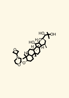 C[C@@H]1C[C@H]([C@H](O)C(C)(C)O)O[C@H]2[C@H]1[C@@]1(C)CCC34C[C@@]35CC[C@H](O[C@H]3CN(C6COC6)CCO3)C(C)(C)[C@@H]5CC[C@H]4[C@]1(C)[C@H]2O